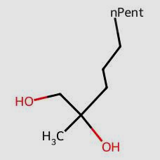 CCCCCCCCC(C)(O)CO